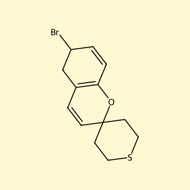 BrC1C=CC2=C(C=CC3(CCSCC3)O2)C1